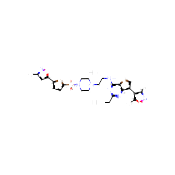 CCc1nc(N[C@@H](C)CN2CCN(S(=O)(=O)c3ccc(-c4cc(C)no4)s3)CC2)c2scc(-c3c(C)noc3C)c2n1